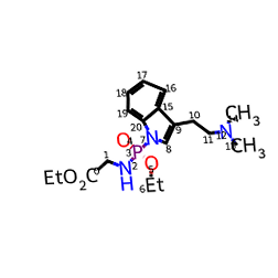 CCOC(=O)CNP(=O)(OCC)n1cc(CCN(C)C)c2ccccc21